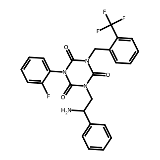 NC(Cn1c(=O)n(Cc2ccccc2C(F)(F)F)c(=O)n(-c2ccccc2F)c1=O)c1ccccc1